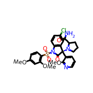 COc1ccc(S(=O)(=O)N2C(=O)[C@](c3cccnc3OC)(N3CCCC3C(N)=O)c3cc(Cl)ccc32)c(OC)c1